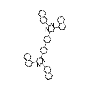 c1ccc2cc(-c3nc(-c4ccc(-c5ccc(-c6cc(-c7cccc8ccccc78)nc(-c7ccc8ccccc8c7)n6)cc5)cc4)cc(-c4cccc5ccccc45)n3)ccc2c1